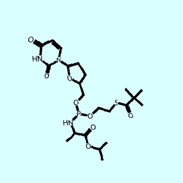 CC(C)OC(=O)C(C)NP(OCCSC(=O)C(C)(C)C)OCC1CCC(n2ccc(=O)[nH]c2=O)O1